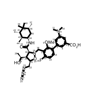 COc1c(-c2cc(C(=O)O)cc(N(C)C)c2)ccc(F)c1CN1O[C@@H](CN=[N+]=[N-])[C@@H]([C@H](C)O)[C@H]1C(=O)N[C@H]1C[C@@H](C)C(C)(C)[C@@H](C)[C@@H]1C